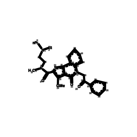 CCCN(CC)CCN(C)C(=O)c1sc2c(c1OC)c(=O)n(CC(=O)c1ccccc1)c1ccccc21